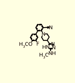 CNc1nnc(C2CCN(c3c(C#N)cccc3-c3ccc(OC)c(F)c3)CC2)[nH]1